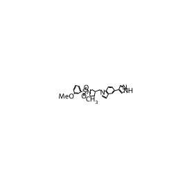 COc1cccc(S(=O)(=O)N2CC(Cn3ccc4cc(-c5cn[nH]c5)ccc43)CC2C)c1